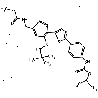 CCC(=O)NCc1ccc(-c2cnc(-c3ccc(NC(=O)OC(C)C)cc3)s2)c(SNC(C)(C)C)c1